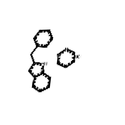 Cl.c1ccc(Cc2cc3ccccc3[nH]2)cc1.c1ccncc1